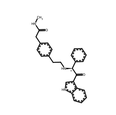 CNC(=O)Cc1ccc(CCN[C@H](C(=O)c2c[nH]c3ccccc23)c2ccccc2)cc1